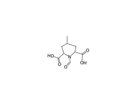 CC1CC(C(=O)O)N(C=O)C(C(=O)O)C1